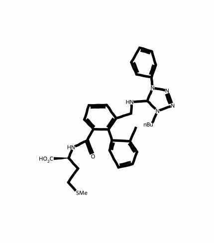 CCCCN1N=NN(c2ccccc2)C1NCc1cccc(C(=O)N[C@@H](CCSC)C(=O)O)c1-c1ccccc1C